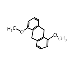 COc1cccc2c1Cc1cccc(OC)c1C2